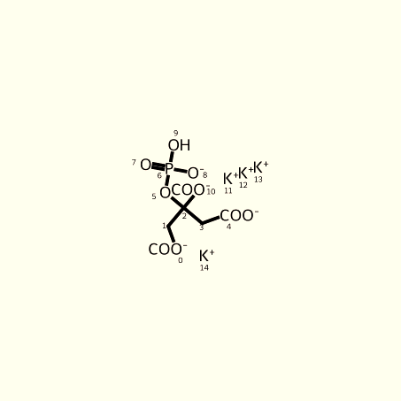 O=C([O-])CC(CC(=O)[O-])(OP(=O)([O-])O)C(=O)[O-].[K+].[K+].[K+].[K+]